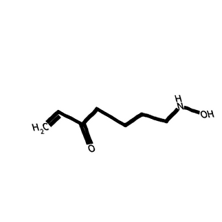 C=CC(=O)CCCCNO